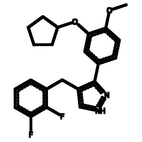 COc1ccc(-c2n[nH]cc2Cc2cccc(F)c2F)cc1OC1CCCC1